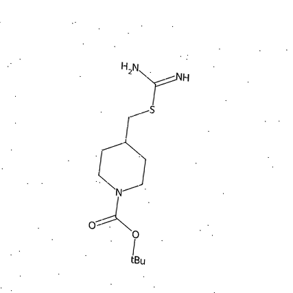 CC(C)(C)OC(=O)N1CCC(CSC(=N)N)CC1